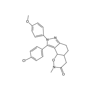 COc1ccc(-n2nc3c(c2-c2ccc(Cl)cc2)C2ON(C)C(=O)CC2CC3)cc1